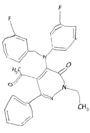 CCn1nc(-c2ccccc2)c(C(C)=O)c(N(c2cccc(F)c2)c2cccc(F)c2)c1=O